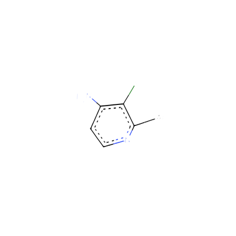 CC(=O)c1nccc(N)c1Cl